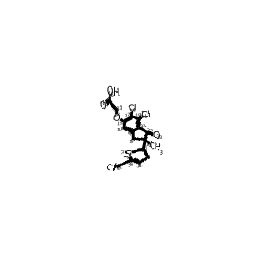 CC1(c2ccc(Cl)s2)Cc2cc(OCC(=O)O)c(Cl)c(Cl)c2C1=O